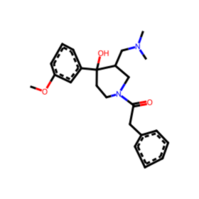 COc1cccc(C2(O)CCN(C(=O)Cc3ccccc3)CC2CN(C)C)c1